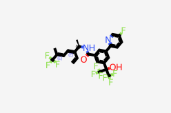 C=C/C(=C\C=C(/C)C(F)(F)F)[C@@H](C)NC(=O)c1cc(-c2ccc(F)cn2)cc(C(O)(C(F)(F)F)C(F)(F)F)c1